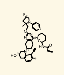 C#Cc1c(F)ccc2c1N([C@H]1CCc3c(nc(OC[C@]4(C)C[C@@H](F)CN4c4ccncc4)nc3N3CCCCC(NC(=O)C=C)C3)C1)C[C@@H](O)C2